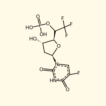 O=c1[nH]c(=O)n([C@H]2C[C@H](O)[C@@H](C(OP(=O)(O)O)C(F)(F)F)O2)cc1F